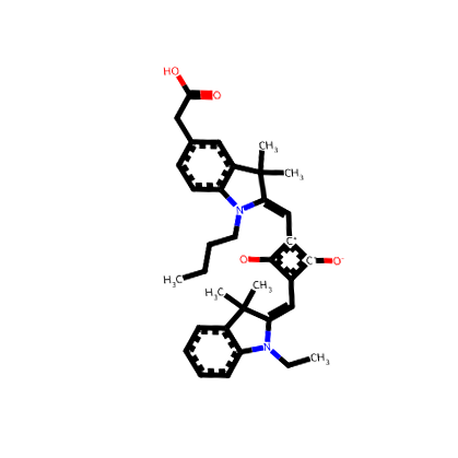 CCCCN1C(=C[c+]2c([O-])c(C=C3N(CC)c4ccccc4C3(C)C)[c+]2[O-])C(C)(C)c2cc(CC(=O)O)ccc21